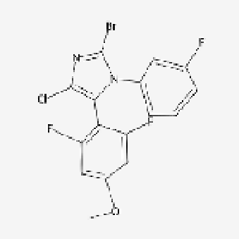 COc1cc(F)c(-c2c(Cl)nc(Br)n2-c2cccc(F)c2)c(F)c1